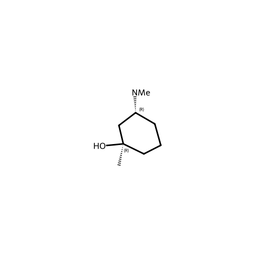 CN[C@@H]1CCC[C@@](C)(O)C1